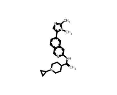 C=C(Nc1cc2cc(-c3cnc(C)n3C)ccc2cn1)C1CCN(C2CC2)CC1